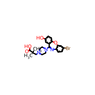 CC(C)(CN1CCN(C2=Nc3ccc(Br)cc3Oc3ccc(O)cc32)CC1)C(=O)O